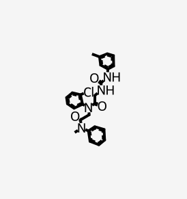 Cc1cccc(NC(=O)NCC(=O)N(CC(=O)N(C)c2ccccc2)c2ccccc2Cl)c1